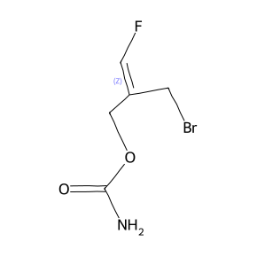 NC(=O)OC/C(=C/F)CBr